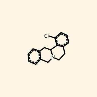 Clc1cccc2c1C1Cc3ccccc3CN1CC2